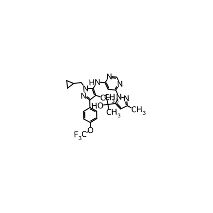 Cc1cc(C(C)(C)O)n(-c2cc(Nc3c(C)c(-c4ccc(OC(F)(F)F)cc4)nn3CC3CC3)ncn2)n1